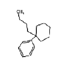 CCCCC1(c2ccccc2)CCCCC1